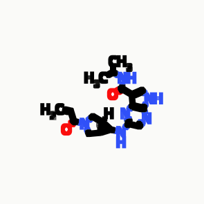 C=CC(=O)N1CC2C(Nc3cnc4[nH]cc(C(=O)NC(C)C)c4n3)[C@H]2C1